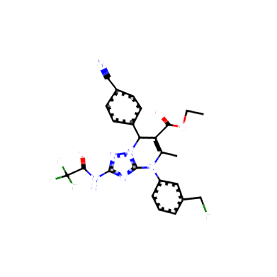 CCOC(=O)C1=C(C)N(c2cccc(CF)c2)c2nc(NC(=O)C(F)(F)F)nn2C1c1ccc(C#N)cc1